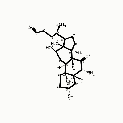 B[C@H]1C(=O)[C@@H]2[C@H](C[C@H](O)[C@]3(C)[C@@H]([C@H](C)CCC=O)CC[C@@H]23)[C@@]2(C)CC[C@@H](O)C[C@@H]12